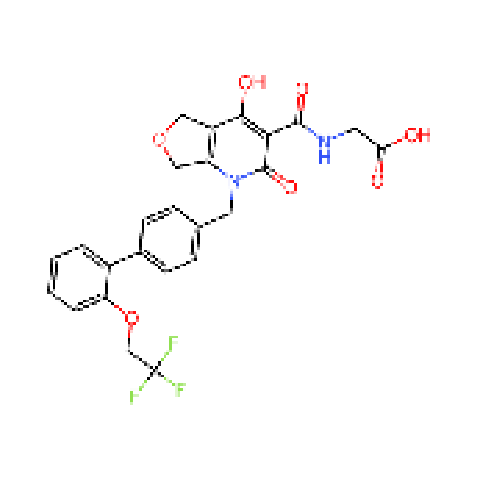 O=C(O)CNC(=O)c1c(O)c2c(n(Cc3ccc(-c4ccccc4OCC(F)(F)F)cc3)c1=O)COC2